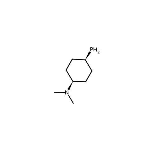 CN(C)[C@H]1CC[C@@H](P)CC1